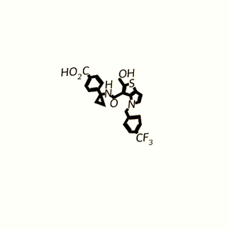 O=C(O)c1ccc(C2(NC(=O)c3c(CO)sc4ccn(Cc5ccc(C(F)(F)F)cc5)c34)CC2)cc1